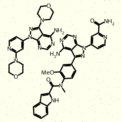 COc1cc(-c2nn(-c3ccnc(C(N)=O)c3)c3ncnc(N)c23)ccc1N(C)C(=O)c1cc2ccccc2[nH]1.Nc1ncnc2c1c(N1CCOCC1)nn2-c1ccnc(N2CCOCC2)c1